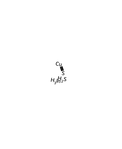 S.[InH3].[S]=[Cu]